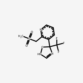 CS(=O)(=O)Cc1ncccc1C1(C(F)(F)F)N=CNO1